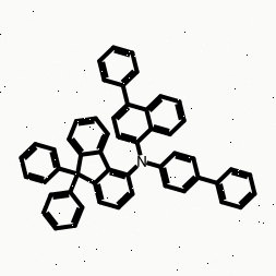 c1ccc(-c2ccc(N(c3cccc4c3-c3ccccc3C4(c3ccccc3)c3ccccc3)c3ccc(-c4ccccc4)c4ccccc34)cc2)cc1